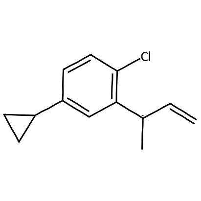 C=C[C](C)c1cc(C2CC2)ccc1Cl